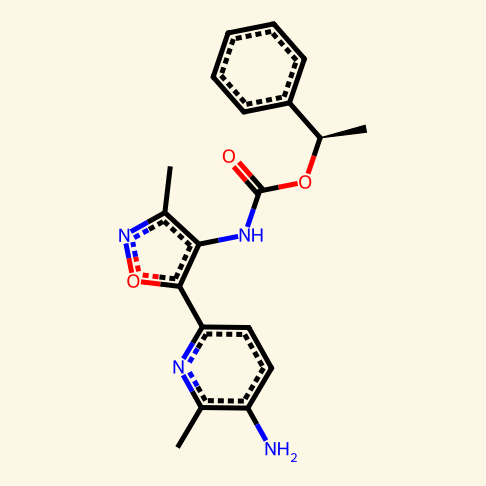 Cc1nc(-c2onc(C)c2NC(=O)O[C@H](C)c2ccccc2)ccc1N